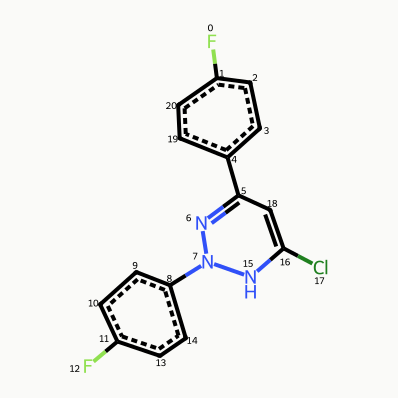 Fc1ccc(C2=NN(c3ccc(F)cc3)NC(Cl)=C2)cc1